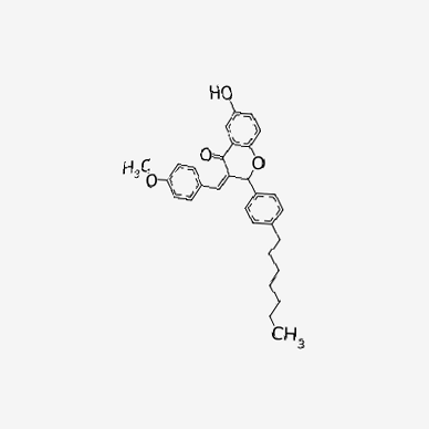 CCCCCCCc1ccc(C2Oc3ccc(O)cc3C(=O)C2=Cc2ccc(OC)cc2)cc1